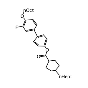 CCCCCCCCOc1ccc(-c2ccc(OC(=O)C3CCC(CCCCCCC)CC3)cc2)cc1F